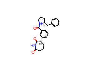 O=C1CCC[C@@H](c2cccc(C(=O)N3CCC[C@H]3Cc3ccccc3)c2)C(=O)N1